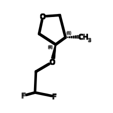 C[C@H]1COC[C@@H]1OCC(F)F